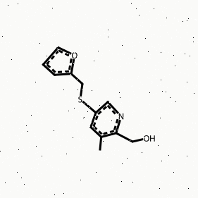 Cc1cc(SCc2ccco2)cnc1CO